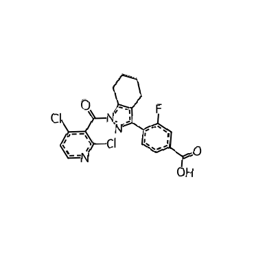 O=C(O)c1ccc(-c2nn(C(=O)c3c(Cl)ccnc3Cl)c3c2CCCC3)c(F)c1